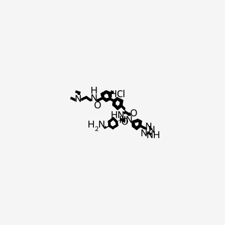 CCN(CC)CCCNC(=O)c1ccc(C)c(-c2ccc(C[C@H](NC(=O)[C@H]3CC[C@H](CN)CC3)C(=O)Nc3ccc(-c4nn[nH]n4)cc3)cc2)c1.Cl